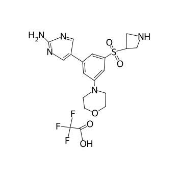 Nc1ncc(-c2cc(N3CCOCC3)cc(S(=O)(=O)C3CNC3)c2)cn1.O=C(O)C(F)(F)F